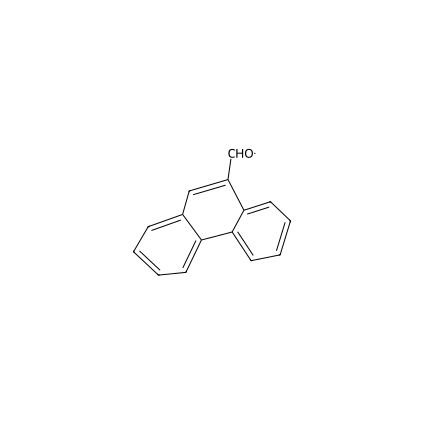 O=[C]c1cc2ccccc2c2ccccc12